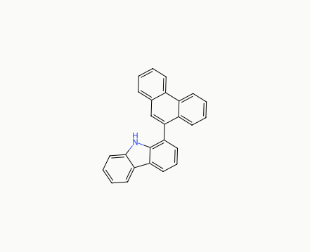 c1ccc2c(c1)cc(-c1cccc3c1[nH]c1ccccc13)c1ccccc12